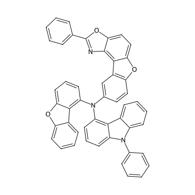 c1ccc(-c2nc3c(ccc4oc5ccc(N(c6cccc7oc8ccccc8c67)c6cccc7c6c6ccccc6n7-c6ccccc6)cc5c43)o2)cc1